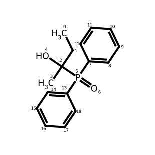 CCC(C)(O)P(=O)(c1ccccc1)c1ccccc1